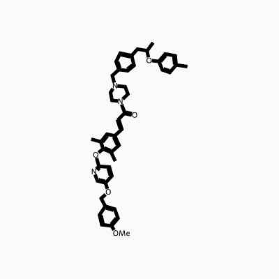 COc1ccc(COc2ccc(Oc3c(C)cc(/C=C/C(=O)N4CCN(Cc5ccc(CC(C)Oc6ccc(C)cc6)cc5)CC4)cc3C)nc2)cc1